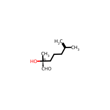 C=C(C)CCC[C@@](C)(O)C=O